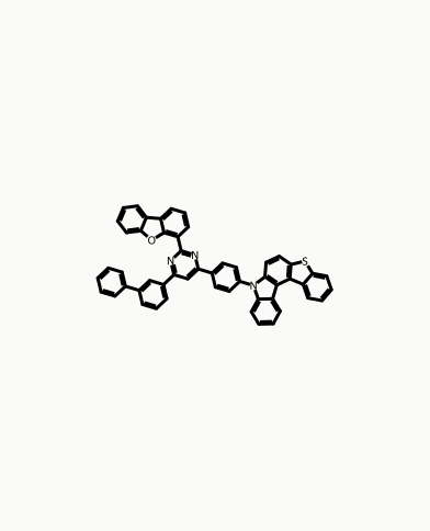 c1ccc(-c2cccc(-c3cc(-c4ccc(-n5c6ccccc6c6c7c(ccc65)sc5ccccc57)cc4)nc(-c4cccc5c4oc4ccccc45)n3)c2)cc1